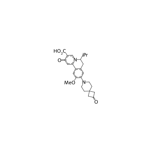 COc1cc2c(cc1N1CCC3(CC1)CC(=O)C3)CC(C(C)C)n1cc(C(=O)O)c(=O)cc1-2